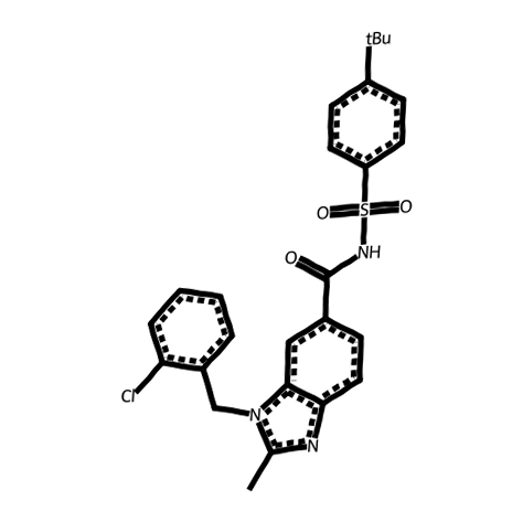 Cc1nc2ccc(C(=O)NS(=O)(=O)c3ccc(C(C)(C)C)cc3)cc2n1Cc1ccccc1Cl